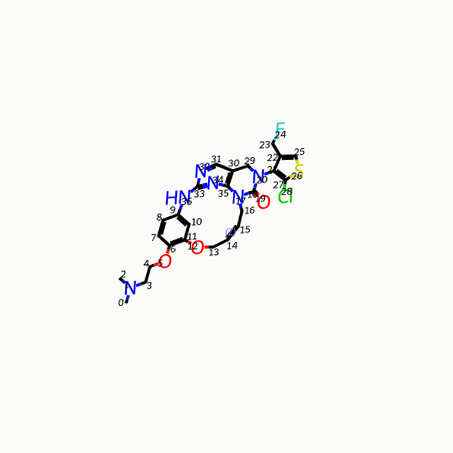 CN(C)CCOc1ccc2cc1OC/C=C\CN1C(=O)N(c3c(CF)csc3Cl)Cc3cnc(nc31)N2